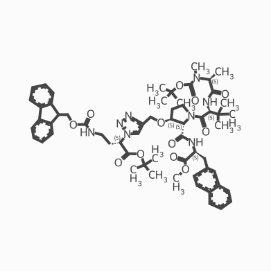 COC(=O)[C@H](Cc1ccc2ccccc2c1)NC(=O)[C@@H]1[C@@H](OCc2cn([C@@H](CCNC(=O)OCC3c4ccccc4-c4ccccc43)C(=O)OC(C)(C)C)nn2)CCN1C(=O)[C@@H](NC(=O)[C@H](C)N(C)C(=O)OC(C)(C)C)C(C)(C)C